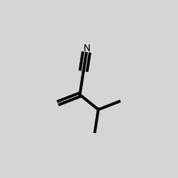 C=C(C#N)[C](C)C